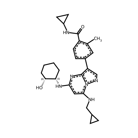 Cc1cc(-c2cnn3c(NCC4CC4)cc(N[C@H]4CCCC[C@H]4O)nc23)ccc1C(=O)NC1CC1